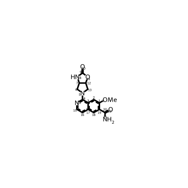 COc1cc2c(N3CC4NC(=O)OC4C3)nccc2cc1C(N)=O